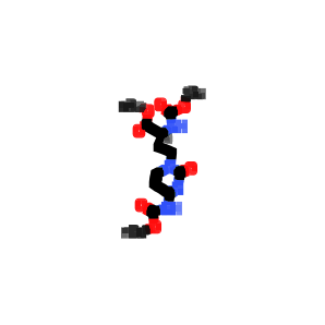 CCCCOC(=O)Nc1ccn(CC[C@H](NC(=O)OC(C)(C)C)C(=O)OCCCC)c(=O)n1